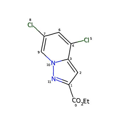 CCOC(=O)c1cc2c(Cl)cc(Cl)cn2n1